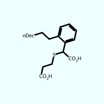 CCCCCCCCCCCCc1ccccc1C(SCCC(=O)O)C(=O)O